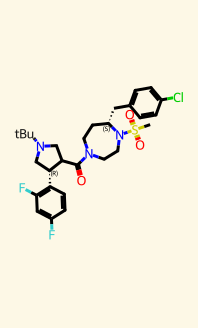 CC(C)(C)N1CC(C(=O)N2CC[C@H](Cc3ccc(Cl)cc3)N(S(C)(=O)=O)CC2)[C@H](c2ccc(F)cc2F)C1